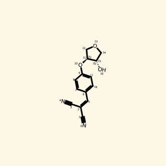 N#CC(C#N)=Cc1ccc(O[C@H]2COC[C@@H]2O)cc1